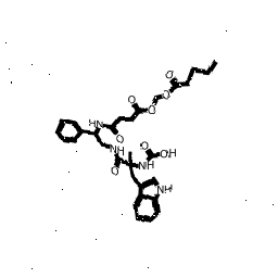 CCCCC(=O)OCOC(=O)CCC(=O)NC(CNC(=O)C(C)(Cc1c[nH]c2ccccc12)NC(=O)O)c1ccccc1